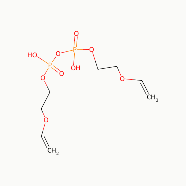 C=COCCOP(=O)(O)OP(=O)(O)OCCOC=C